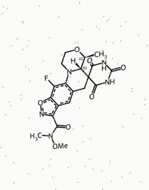 CON(C)C(=O)c1noc2c(F)c3c(cc12)CC1(C(=O)NC(=O)NC1=O)[C@H]1[C@H](C)OCCN31